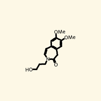 COc1cc2c(cc1OC)CC(=O)N(CCCO)C=C2